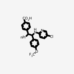 CCCC(c1ccc(C(=O)O)cc1)C(Nc1ccc(Cl)cn1)c1ccc(OC(F)(F)F)cc1